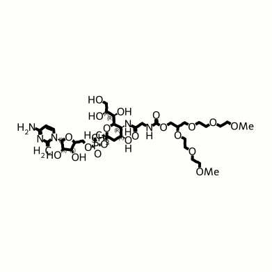 C=C1N=C(N)C=CN1[C@@H]1OC(COP(C)(=O)O[C@@]2(C)C[C@@H](O)[C@@H](NC(=O)CNC(=O)OCC(COCCOCCOC)OCCOCCOC)C([C@H](O)[C@H](O)CO)O2)[C@@H](O)[C@H]1O